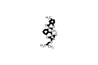 Cc1ccc2c(c1)C(=O)N(c1ccccc1CN1C(=O)SC(OCC(C)C)C1=O)C(C)O2